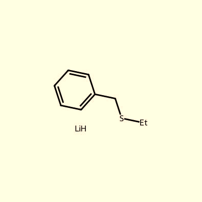 CCSCc1ccccc1.[LiH]